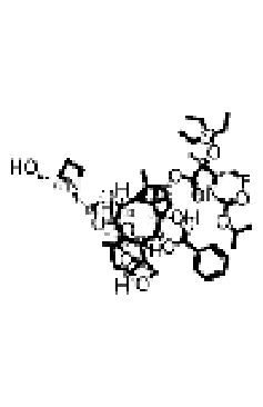 CC[Si](CC)(CC)O[C@@](C)(C(=O)O[C@H]1C[C@@]2(O)[C@@H](OC(=O)c3ccccc3)[C@H]3[C@@](C)(CC[C@H]4OC[C@]43OC(C)=O)[C@@H]3O[C@H](CN4CC[C@H]4CO)O[C@@H]3C(=C1C)C2(C)C)[C@H](CF)NC(=O)OC(C)C